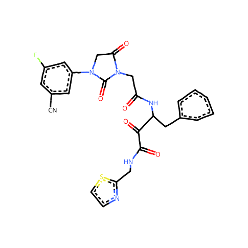 N#Cc1cc(F)cc(N2CC(=O)N(CC(=O)NC(Cc3ccccc3)C(=O)C(=O)NCc3nccs3)C2=O)c1